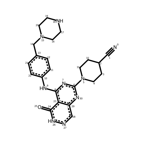 N#CC1CCN(c2nc(Nc3ccc(CN4CCNCC4)cc3)c3c(=O)[nH]ncc3n2)CC1